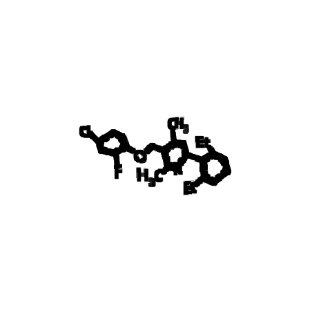 CCc1cccc(CC)c1-c1cc(C)c(COc2ccc(Cl)cc2F)c(C)n1